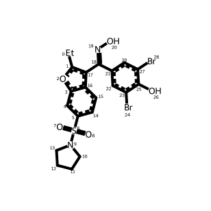 CCc1oc2cc(S(=O)(=O)N3CCCC3)ccc2c1C(=NO)c1cc(Br)c(O)c(Br)c1